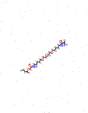 CCCC(C)OCC(=O)NCCCCCOCCOCCOCCCCCNC(=O)C(C)C